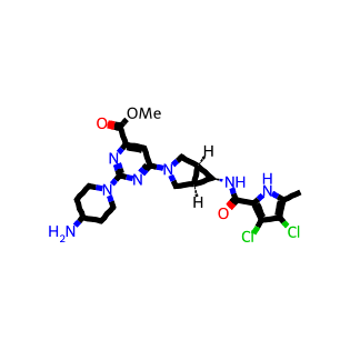 COC(=O)c1cc(N2C[C@@H]3[C@H](C2)[C@H]3NC(=O)c2[nH]c(C)c(Cl)c2Cl)nc(N2CCC(N)CC2)n1